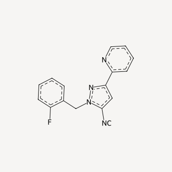 [C-]#[N+]c1cc(-c2ccccn2)nn1Cc1ccccc1F